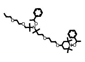 CCCOCCOCC(C)(C)N(OC(C)c1ccccc1)C(C)(C)CCOCCCOC1CC(C)(C)N(OC(C)c2ccccc2)C(C)(C)C1